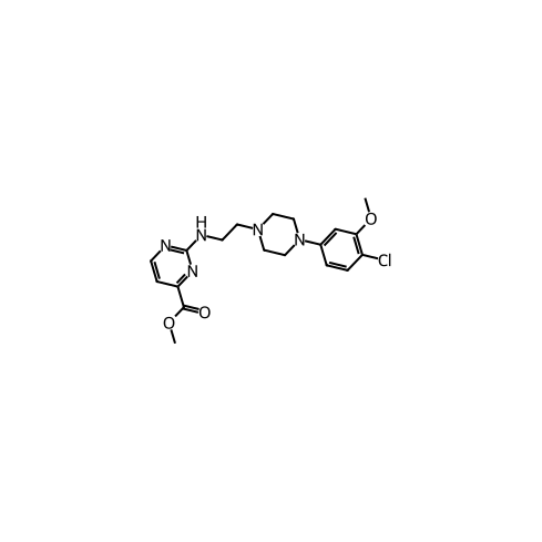 COC(=O)c1ccnc(NCCN2CCN(c3ccc(Cl)c(OC)c3)CC2)n1